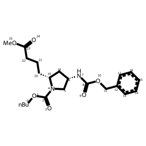 CCCCOC(=O)N1C[C@@H](NC(=O)OCc2ccccc2)C[C@H]1CCCC(=O)OC